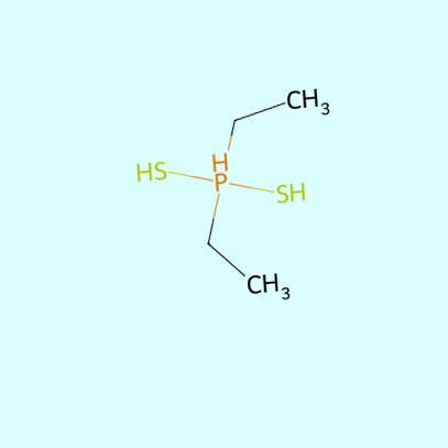 CC[PH](S)(S)CC